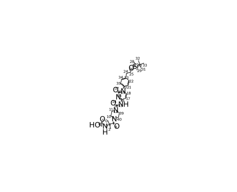 CC(C)(NC(=O)O)C(=O)N1CCN(C(=O)Nc2ccn(-c3ccc(CCO[Si](C)(C)C(C)(C)C)cc3)c(=O)n2)CC1